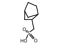 O=S(=O)(O)CC1CC2CCC1C2